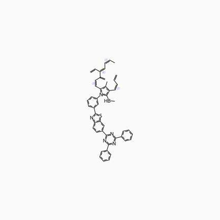 C=C/C=C\c1c(C)c(/C=C\C(=C)/C(C=C)=C/C=C\C)n(-c2cccc(-c3nc4ccc(-c5nc(-c6ccccc6)nc(-c6ccccc6)n5)cc4s3)c2)c1BC